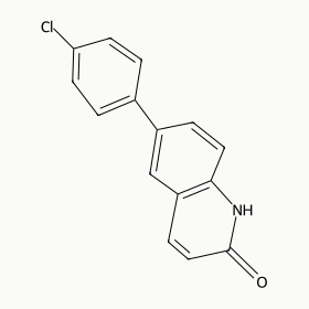 O=c1ccc2cc(-c3ccc(Cl)cc3)ccc2[nH]1